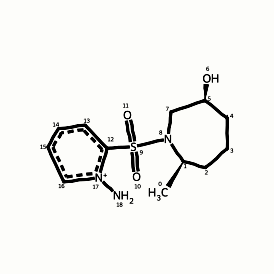 C[C@@H]1CC[CH][C@H](O)CN1S(=O)(=O)c1cccc[n+]1N